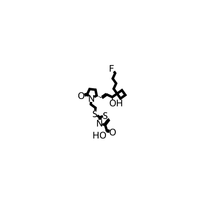 O=C(O)c1csc(SCCN2C(=O)CC[C@@H]2/C=C/[C@@H](O)C2(CCCCF)CCC2)n1